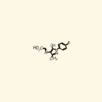 Cc1nn(-c2ccc(F)cc2)c(O)c1N=CC(=O)O